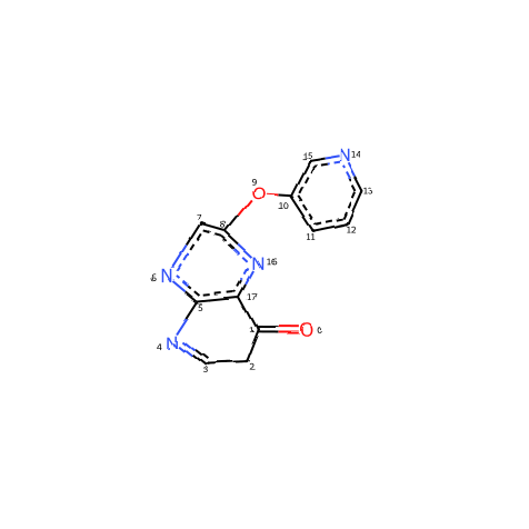 O=C1CC=Nc2ncc(Oc3cccnc3)nc21